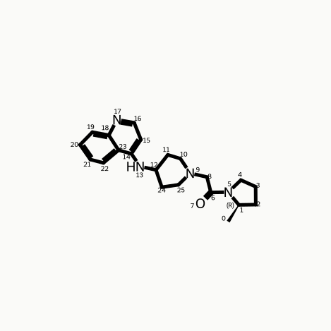 C[C@@H]1CCCN1C(=O)CN1CCC(Nc2ccnc3ccccc23)CC1